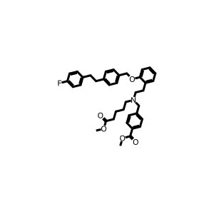 COC(=O)CCCCN(CCc1ccccc1OCc1ccc(CCc2ccc(F)cc2)cc1)Cc1ccc(C(=O)OC)cc1